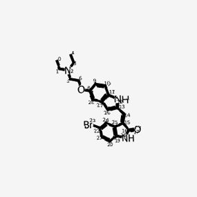 CCN(CC)CCOc1ccc2[nH]c(/C=C3/C(=O)Nc4ccc(Br)cc43)cc2c1